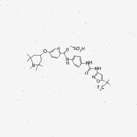 CN1C(C)(C)CC(Oc2ccc(C(=O)Nc3ccc(NC(=O)Nc4cc(C(C)(C)C(F)(F)F)on4)cc3)nc2)CC1(C)C.CS(=O)(=O)O